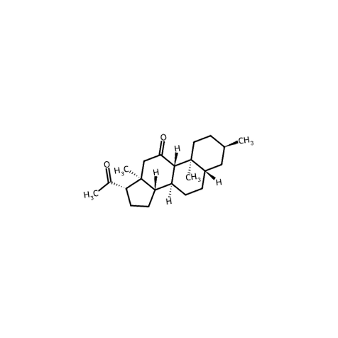 CC(=O)[C@H]1CC[C@H]2[C@@H]3CC[C@H]4C[C@H](C)CC[C@]4(C)[C@H]3C(=O)C[C@]12C